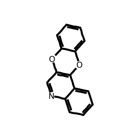 c1ccc2c(c1)Oc1cnc3ccccc3c1O2